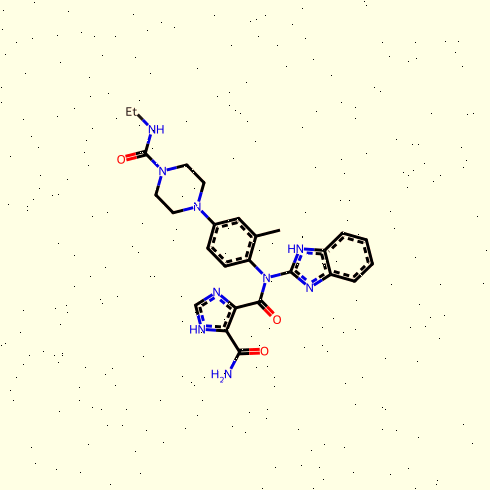 CCNC(=O)N1CCN(c2ccc(N(C(=O)c3nc[nH]c3C(N)=O)c3nc4ccccc4[nH]3)c(C)c2)CC1